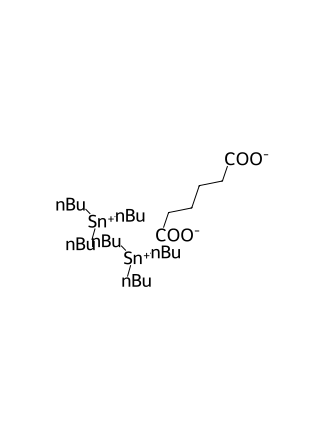 CCC[CH2][Sn+]([CH2]CCC)[CH2]CCC.CCC[CH2][Sn+]([CH2]CCC)[CH2]CCC.O=C([O-])CCCCC(=O)[O-]